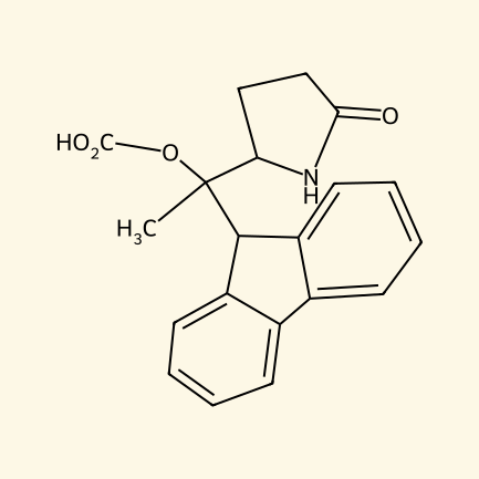 CC(OC(=O)O)(C1CCC(=O)N1)C1c2ccccc2-c2ccccc21